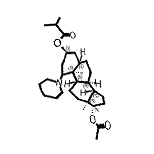 CC(=O)O[C@H]1CC[C@H]2[C@@H]3CC[C@H]4C[C@H](OC(=O)C(C)C)CC(N5CCCCC5)[C@]4(C)[C@H]3CC[C@]12C